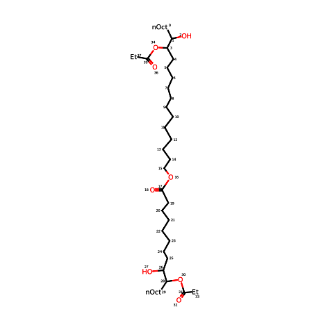 CCCCCCCCC(O)C(CCCCCCCCCCCCOC(=O)CCCCCCCC(O)C(CCCCCCCC)OC(=O)CC)OC(=O)CC